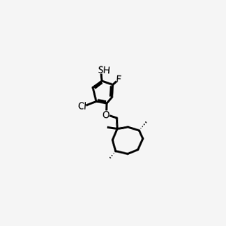 C[C@@H]1CCC[C@H](C)CC(C)(COc2cc(F)c(S)cc2Cl)C1